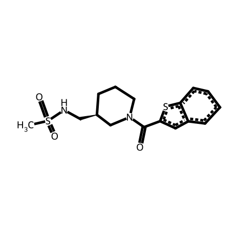 CS(=O)(=O)NC[C@H]1CCCN(C(=O)c2cc3ccccc3s2)C1